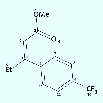 CC/C(=C/C(=O)OC)c1ccc(C(F)(F)F)cc1